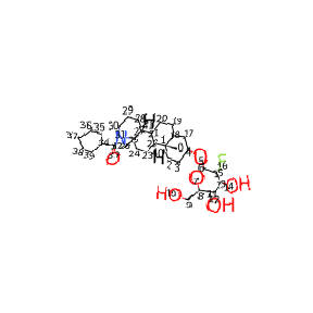 C[C@]12CC[C@H](OC3O[C@H](CO)[C@@H](O)[C@H](O)C3F)CC1CCC1[C@@H]2CC[C@@]2(C)[C@H]1CCCN2C(=O)C1CCCCC1